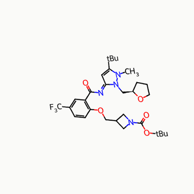 Cn1c(C(C)(C)C)cc(=NC(=O)c2cc(C(F)(F)F)ccc2OCC2CN(C(=O)OC(C)(C)C)C2)n1C[C@H]1CCCO1